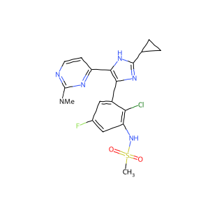 CNc1nccc(-c2[nH]c(C3CC3)nc2-c2cc(F)cc(NS(C)(=O)=O)c2Cl)n1